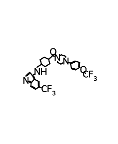 O=C(C1CCC(CNc2ccnc3ccc(C(F)(F)F)cc23)CC1)N1CCN(c2ccc(OC(F)(F)F)cc2)CC1